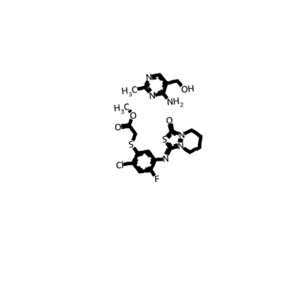 COC(=O)CSc1cc(/N=c2\sc(=O)n3n2CCCC3)c(F)cc1Cl.Cc1ncc(CO)c(N)n1